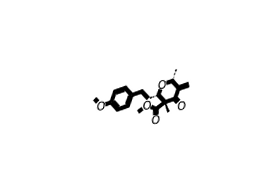 C=C1C(=O)[C@](C)(C(=O)OC)[C@H](CCc2ccc(OC)cc2)O[C@@H]1C